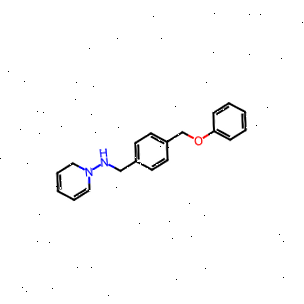 C1=CCN(NCc2ccc(COc3ccccc3)cc2)C=C1